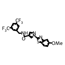 COc1ccc2sc(-n3cc(C(=O)NCc4cc(C(F)(F)F)cc(C(F)(F)F)c4)cn3)nc2c1